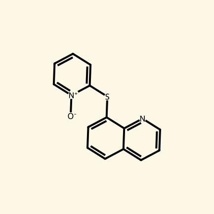 [O-][n+]1ccccc1Sc1cccc2cccnc12